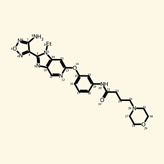 CCn1c(-c2nonc2N)nc2cnc(Oc3cccc(NC(=O)CCCN4CCOCC4)c3)cc21